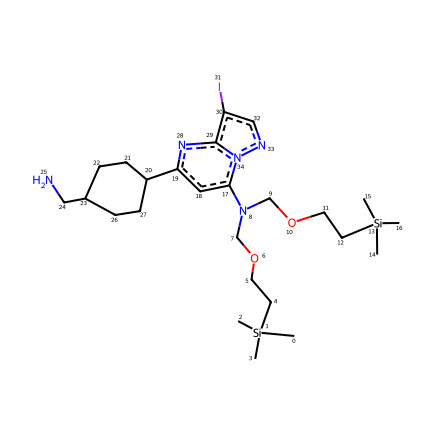 C[Si](C)(C)CCOCN(COCC[Si](C)(C)C)c1cc(C2CCC(CN)CC2)nc2c(I)cnn12